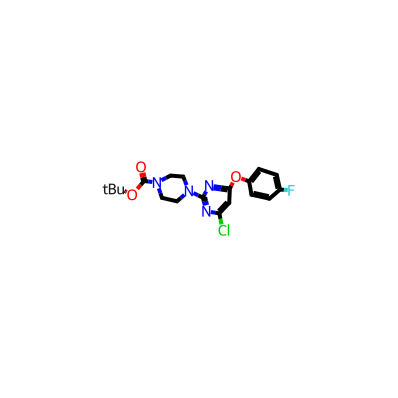 CC(C)(C)OC(=O)N1CCN(c2nc(Cl)cc(Oc3ccc(F)cc3)n2)CC1